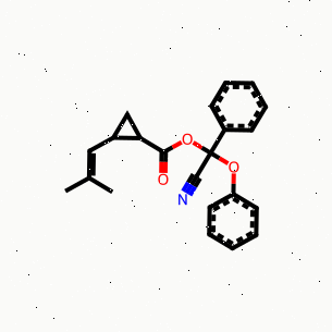 CC(C)=CC1CC1C(=O)OC(C#N)(Oc1ccccc1)c1ccccc1